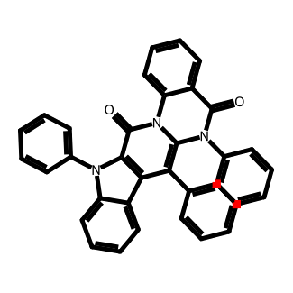 O=c1c2ccccc2n2c(=O)c3c(c(-c4ccccc4)c2n1-c1ccccc1)c1ccccc1n3-c1ccccc1